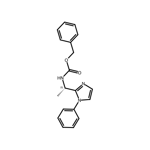 C[C@H](NC(=O)OCc1ccccc1)c1nccn1-c1ccccc1